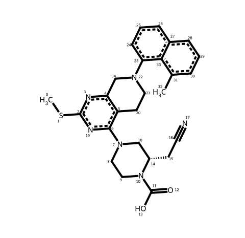 CSc1nc2c(c(N3CCN(C(=O)O)[C@@H](CC#N)C3)n1)CCN(c1cccc3cccc(C)c13)C2